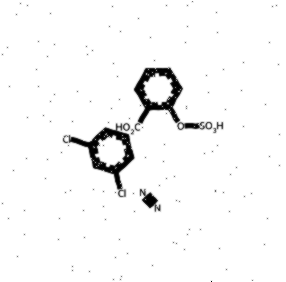 Clc1cccc(Cl)c1.N#N.O=C(O)c1ccccc1OS(=O)(=O)O